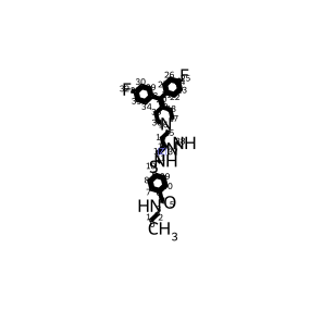 CCCNC(=O)c1ccc(SN/C=C(/CCN2CCC(=C(c3ccc(F)cc3)c3ccc(F)cc3)CC2)N=N)cc1